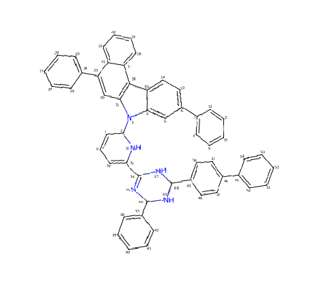 C1=CC(n2c3cc(-c4ccccc4)ccc3c3c4ccccc4c(-c4ccccc4)cc32)NC(C2=NC(c3ccccc3)NC(c3ccc(-c4ccccc4)cc3)N2)=C1